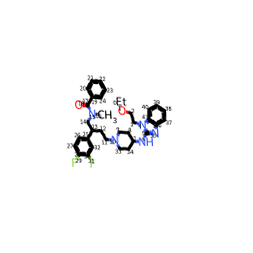 CCOCCn1c(NC2CCN(CCC(CN(C)C(=O)c3ccccc3)c3ccc(F)c(F)c3)CC2)nc2ccccc21